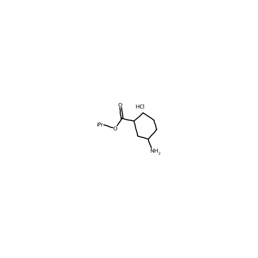 CC(C)OC(=O)C1CCCC(N)C1.Cl